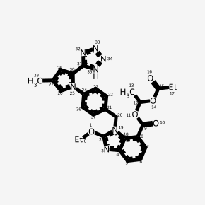 CCOc1nc2cccc(C(=O)OC(C)OC(=O)CC)c2n1Cc1ccc(-n2cc(C)cc2-c2nnn[nH]2)cc1